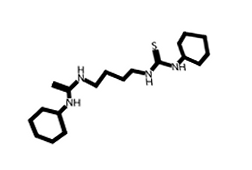 C=C(NCCCCNC(=S)NC1CCCCC1)NC1CCCCC1